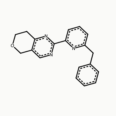 c1ccc(Cc2cccc(-c3ncc4c(n3)CCOC4)n2)cc1